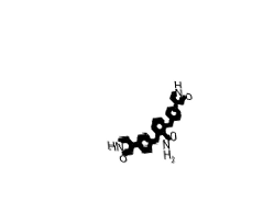 NC(=O)c1c(Cc2ccc(-c3cc[nH]c(=O)c3)cc2)cccc1Cc1ccc(-c2cc[nH]c(=O)c2)cc1